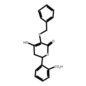 O=C1OC(c2ccccc2C(=O)O)CC(O)=C1SCc1ccccc1